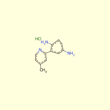 Cc1ccnc(-c2cc(N)ccc2N)c1.Cl